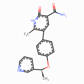 C[C@H](Oc1ccc(-c2cc(C(N)=O)c(=O)[nH]c2C(F)(F)F)cc1)c1cccnc1